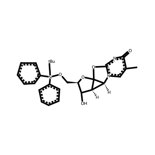 Cc1cn2c(nc1=O)OC13O[C@H](CO[Si](c4ccccc4)(c4ccccc4)C(C)(C)C)C(O)[C@@H]1[C@H]23